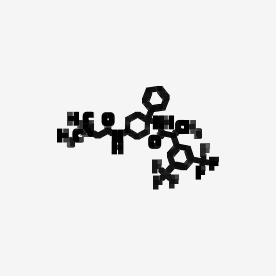 C[C@H](C(=O)NC1(c2ccccc2)CCC(NC(=O)CN(C)C)CC1)c1cc(C(F)(F)F)cc(C(F)(F)F)c1